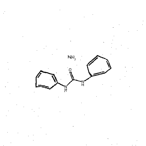 N.O=C(Nc1ccccc1)Nc1ccccc1